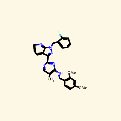 COc1ccc(CNc2nc(-c3nn(Cc4ccccc4F)c4ncccc34)ncc2C)c(OC)c1